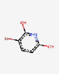 Oc1ccc(Br)c(O)n1